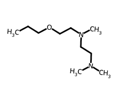 CCCOCCN(C)CCN(C)C